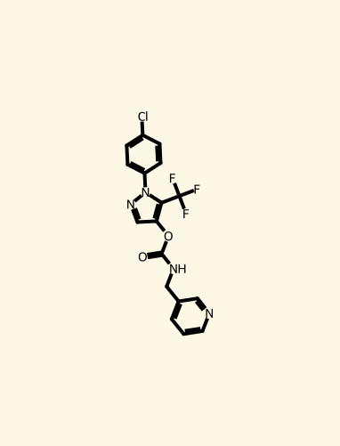 O=C(NCc1cccnc1)Oc1cnn(-c2ccc(Cl)cc2)c1C(F)(F)F